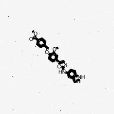 COC(=O)c1ccc(COc2ccc(-c3cnc(Nc4ccc5[nH]ncc5c4)o3)cc2OC)cc1